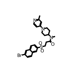 Cc1cc(N2CCC(N(C)C(=O)CCS(=O)(=O)c3ccc4cc(Br)ccc4c3)CC2)ccn1